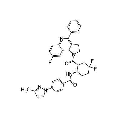 Cc1ccn(-c2ccc(C(=O)N[C@@H]3CCC(F)(F)C[C@@H]3C(=O)N3CCc4c(-c5ccccc5)nc5ccc(F)cc5c43)cc2)n1